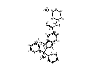 CCn1c(C(O)(c2ccccc2)c2ccccc2)nc2ccc(C(=O)N[C@@H]3CCC[C@@H](O)C3)cc21